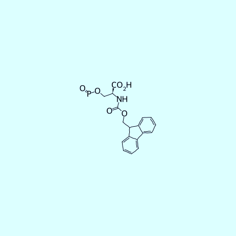 O=POC[C@H](NC(=O)OCC1c2ccccc2-c2ccccc21)C(=O)O